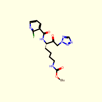 CC(C)(C)OC(=O)NCCCC[C@H](NC(=O)c1cccnc1F)C(=O)Cn1ncnn1